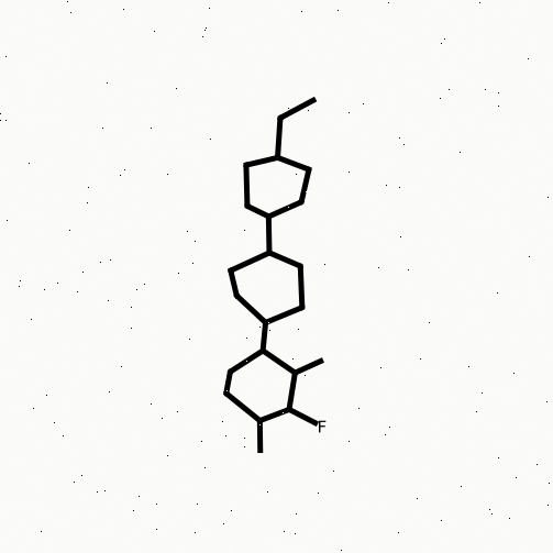 CCC1CCC(C2CCC(C3CCC(C)C(F)C3C)CC2)CC1